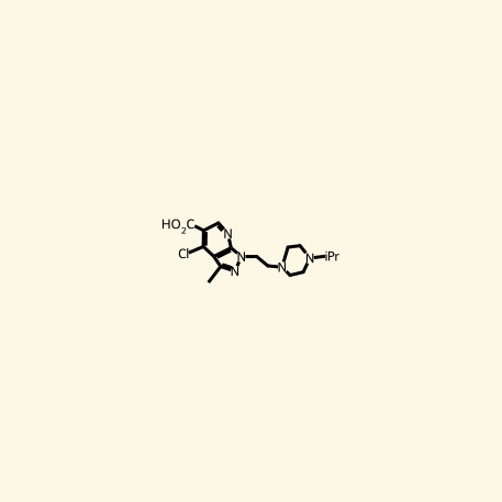 Cc1nn(CCN2CCN(C(C)C)CC2)c2ncc(C(=O)O)c(Cl)c12